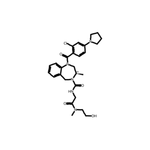 C[C@@H]1CN(C(=O)c2ccc(N3CCCC3)cc2Cl)c2ccccc2CN1C(=O)NCC(=O)N(C)CCO